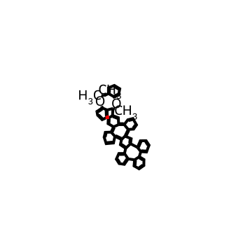 CC1(C)Oc2ccccc2C(C)(c2ccc3c4ccccc4c4cc5c6ccccc6c6ccccc6c6ccccc6c5cc4c4ccccc4c3c2)Oc2ccccc21